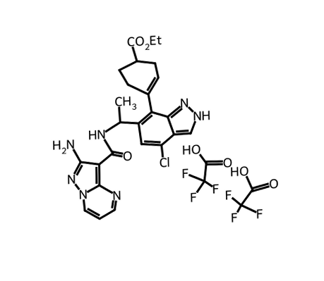 CCOC(=O)C1CC=C(c2c(C(C)NC(=O)c3c(N)nn4cccnc34)cc(Cl)c3c[nH]nc23)CC1.O=C(O)C(F)(F)F.O=C(O)C(F)(F)F